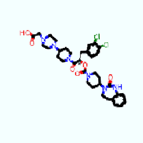 O=C(O)CN1CCN(C2CCN(C(=O)[C@@H](Cc3ccc(Cl)c(Cl)c3)OC(=O)N3CCC(N4CCc5ccccc5NC4=O)CC3)CC2)CC1